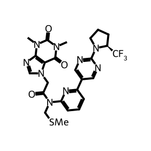 CSCN(C(=O)Cn1cnc2c1c(=O)n(C)c(=O)n2C)c1cccc(-c2cnc(N3CCC[C@H]3C(F)(F)F)nc2)n1